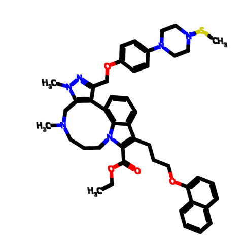 CCOC(=O)c1c(CCCOc2cccc3ccccc23)c2cccc3c2n1CCCN(C)Cc1c-3c(COc2ccc(N3CCN(SC)CC3)cc2)nn1C